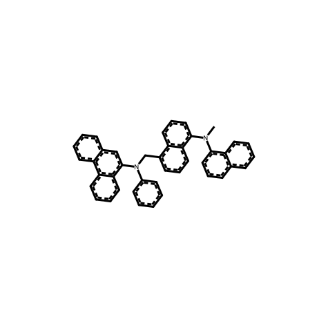 CN(c1cccc2ccccc12)c1cccc2c(CN(c3ccccc3)c3cc4ccccc4c4ccccc34)cccc12